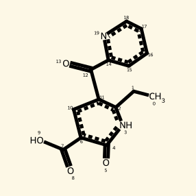 CCc1[nH]c(=O)c(C(=O)O)cc1C(=O)c1ccccn1